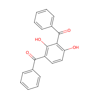 O=C(c1ccccc1)c1ccc(O)c(C(=O)c2ccccc2)c1O